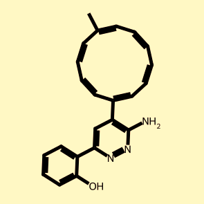 CC1=C/C=C\C=C/C=C(c2cc(-c3ccccc3O)nnc2N)\C=C/C=C\1